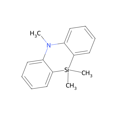 CN1c2ccccc2[Si](C)(C)c2ccccc21